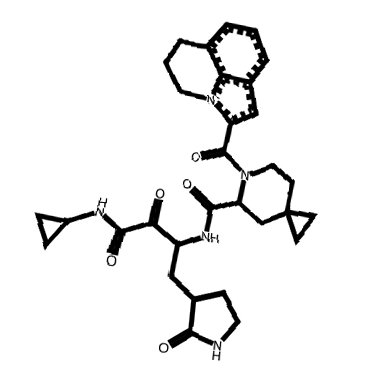 O=C(NC1CC1)C(=O)C(CC1CCNC1=O)NC(=O)C1CC2(CCN1C(=O)c1cc3cccc4c3n1CCC4)CC2